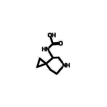 O=C(O)NC1CNCCC12CC2